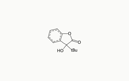 CC(C)(C)C1(O)C(=O)Oc2ccccc21